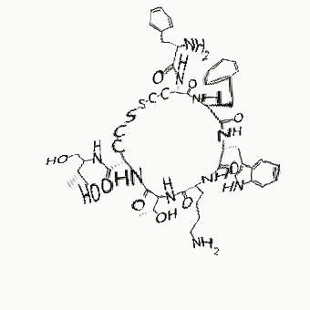 C[C@@H](O)C(CO)NC(=O)[C@@H]1CCSSCC[C@H](NC(=O)[C@H](N)Cc2ccccc2)C(=O)N[C@@H](Cc2ccccc2)C(=O)N[C@H](Cc2c[nH]c3ccccc23)C(=O)N[C@@H](CCCCN)C(=O)NC([C@@H](C)O)C(=O)N1